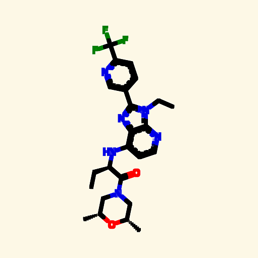 CC[C@@H](Nc1ccnc2c1nc(-c1ccc(C(F)(F)F)nc1)n2CC)C(=O)N1C[C@@H](C)O[C@@H](C)C1